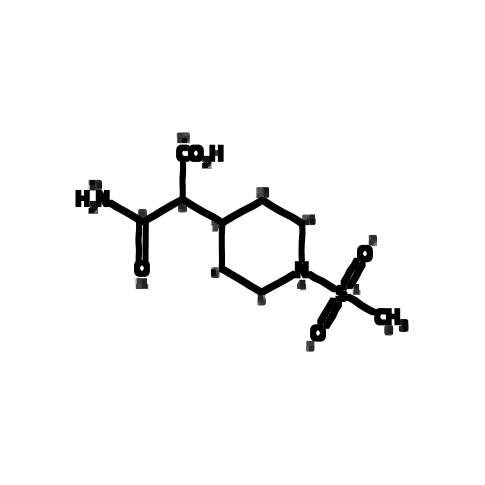 CS(=O)(=O)N1CCC(C(C(N)=O)C(=O)O)CC1